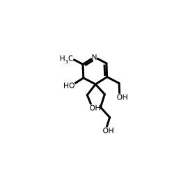 CC1=NC=C(CO)C(CO)(CCCO)C1O